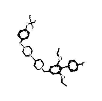 CCOc1cc(CN2CCC(N3CCN(Sc4ccc(OC(F)(F)F)cc4)CC3)CC2)cc(OCC)c1-c1ccc(F)cc1